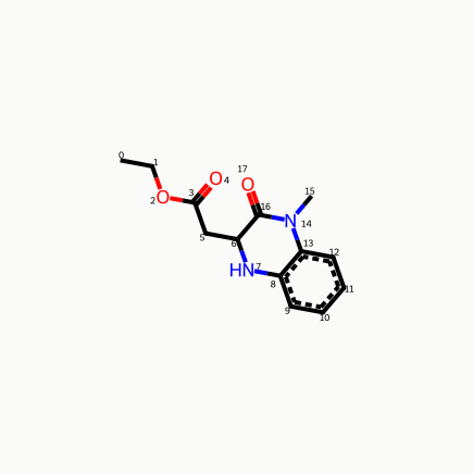 CCOC(=O)CC1Nc2ccccc2N(C)C1=O